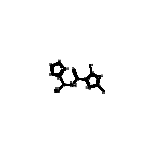 Cc1nc(C)c(C(=O)NC(C#N)c2cccs2)s1